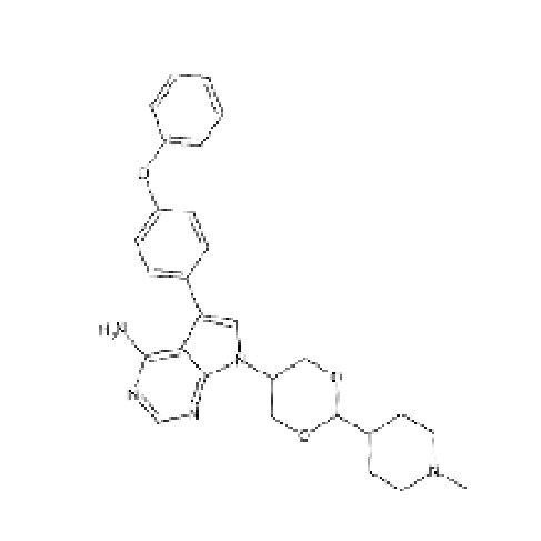 CN1CCC(C2OCC(n3cc(-c4ccc(Oc5ccccc5)cc4)c4c(N)ncnc43)CO2)CC1